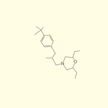 CCC1CN(CC(C)Cc2ccc(C(C)(C)C)cc2)CC(CC)O1